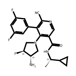 C[C@H](NC(=O)c1cnc(C#N)c(-c2cc(F)cc(F)c2)c1N1C[C@H](N)[C@@H](F)C1)C1CC1